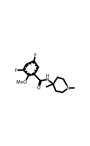 COc1c(F)cc(F)cc1C(=O)NC1(C)CCN(C)CC1